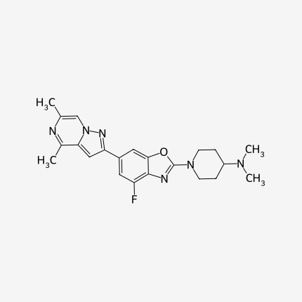 Cc1cn2nc(-c3cc(F)c4nc(N5CCC(N(C)C)CC5)oc4c3)cc2c(C)n1